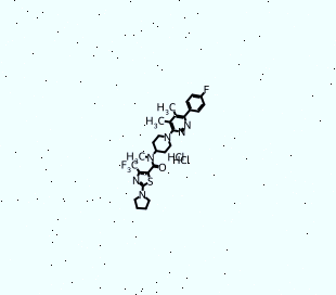 Cc1c(-c2ccc(F)cc2)nnc(N2CCC(N(C)C(=O)c3sc(N4CCCC4)nc3C(F)(F)F)CC2)c1C.Cl.Cl